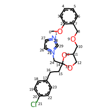 COc1ccccc1COCC1COC(CCc2ccc(Cl)cc2)(Cn2ccnc2)O1